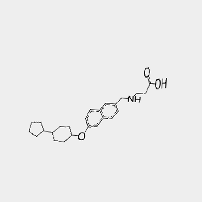 O=C(O)CCNCc1ccc2cc(OC3CCC(C4CCCC4)CC3)ccc2c1